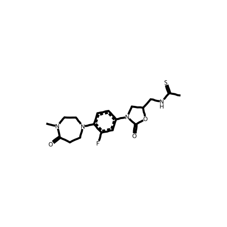 CC(=S)NCC1CN(c2ccc(N3CCC(=O)N(C)CC3)c(F)c2)C(=O)O1